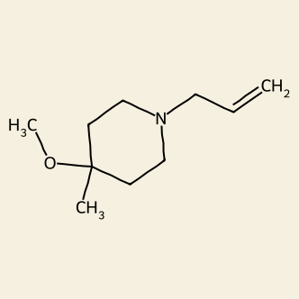 C=CCN1CCC(C)(OC)CC1